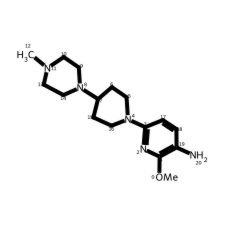 COc1nc(N2CCC(N3CCN(C)CC3)CC2)ccc1N